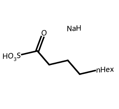 CCCCCCCCCC(=O)S(=O)(=O)O.[NaH]